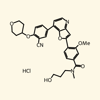 COc1cc(C(=O)N(C)CCCO)ccc1-c1cc2nccc(-c3ccc(OC4CCOCC4)c(C#N)c3)c2o1.Cl